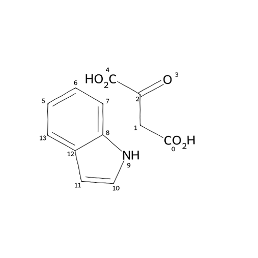 O=C(O)CC(=O)C(=O)O.c1ccc2[nH]ccc2c1